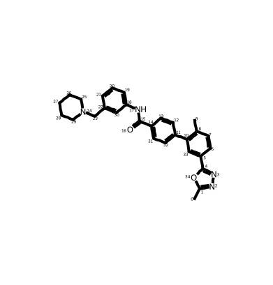 Cc1nnc(-c2ccc(C)c(-c3ccc(C(=O)Nc4cccc(CN5CCCCC5)c4)cc3)c2)o1